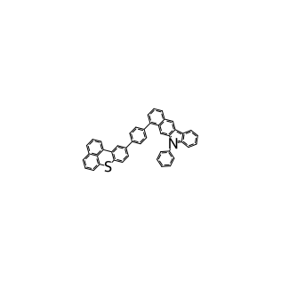 c1ccc(-n2c3ccccc3c3cc4cccc(-c5ccc(-c6ccc7c(c6)-c6cccc8cccc(c68)S7)cc5)c4cc32)cc1